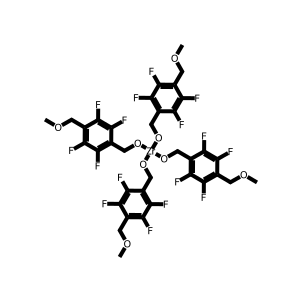 COCc1c(F)c(F)c(C[O][Zr]([O]Cc2c(F)c(F)c(COC)c(F)c2F)([O]Cc2c(F)c(F)c(COC)c(F)c2F)[O]Cc2c(F)c(F)c(COC)c(F)c2F)c(F)c1F